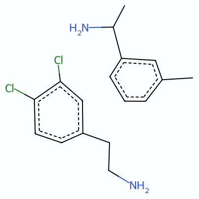 Cc1cccc(C(C)N)c1.NCCc1ccc(Cl)c(Cl)c1